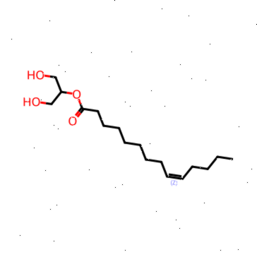 CCCC/C=C\CCCCCCCC(=O)OC(CO)CO